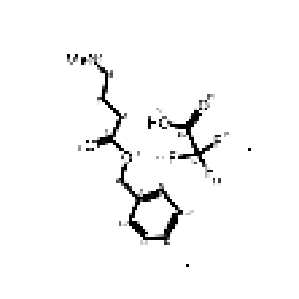 CNCCCC(=O)OCc1ccccc1.O=C(O)C(F)(F)F